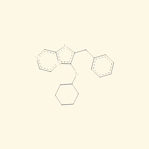 c1ccc(Cc2nc3cnccn3c2NC2CCCCC2)cc1